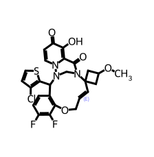 COC1CC2(/C=C/COc3c(ccc(F)c3F)C(c3sccc3Cl)N3CN2C(=O)c2c(O)c(=O)ccn23)C1